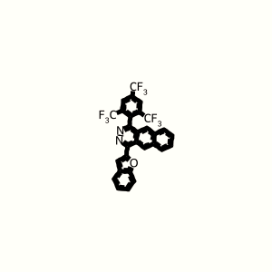 FC(F)(F)c1cc(C(F)(F)F)c(-c2nnc(-c3cc4ccccc4o3)c3cc4ccccc4cc23)c(C(F)(F)F)c1